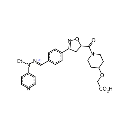 CCN(/N=C/c1ccc(C2=NOC(C(=O)N3CCC(OCC(=O)O)CC3)C2)cc1)c1ccncc1